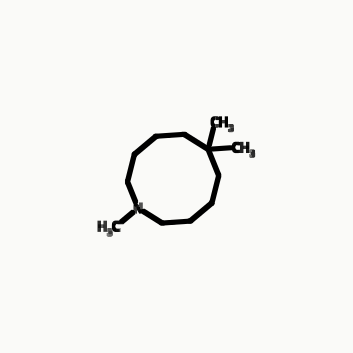 CN1CCCCC(C)(C)CCCC1